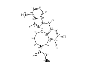 Cc1nn(C(C)c2cc(Cl)c(F)c3c2OCCCN(C(=O)OC(C)(C)C)C3)c2ncnc(N)c12